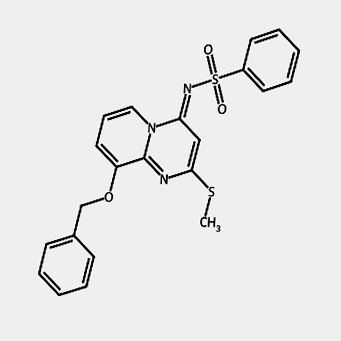 CSc1cc(=NS(=O)(=O)c2ccccc2)n2cccc(OCc3ccccc3)c2n1